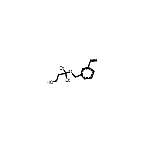 C=Cc1cccc(COC(CC)(CC)CCO)c1